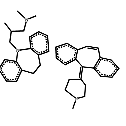 CC(CN(C)C)CN1c2ccccc2CCc2ccccc21.CN1CCC(=C2c3ccccc3C=Cc3ccccc32)CC1